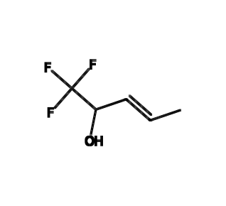 CC=CC(O)C(F)(F)F